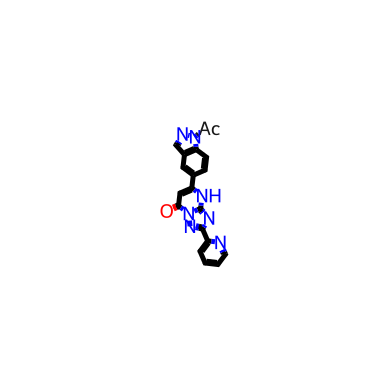 CC(=O)n1ncc2cc(-c3cc(=O)n4nc(-c5ccccn5)nc4[nH]3)ccc21